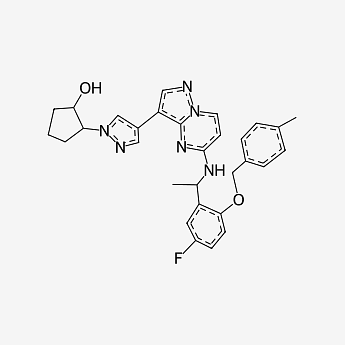 Cc1ccc(COc2ccc(F)cc2C(C)Nc2ccn3ncc(-c4cnn(C5CCCC5O)c4)c3n2)cc1